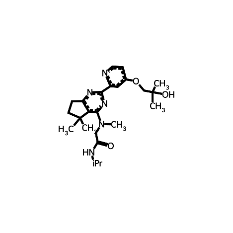 CC(C)NC(=O)CN(C)c1nc(-c2cc(OCC(C)(C)O)ccn2)nc2c1C(C)(C)CC2